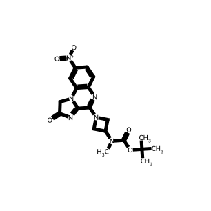 CN(C(=O)OC(C)(C)C)C1CN(C2=Nc3ccc([N+](=O)[O-])cc3N3CC(=O)N=C23)C1